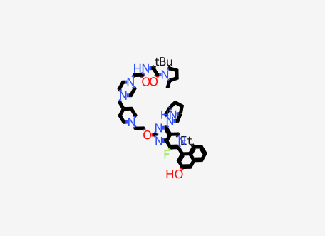 CCc1cccc2cc(O)cc(-c3ncc4c(N5CC6CCC(C5)N6)nc(OCCN5CCC(CN6CCN(CC(=O)NC(C(=O)N7CCCC7C)C(C)(C)C)CC6)CC5)nc4c3F)c12